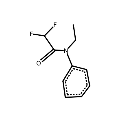 CCN(C(=O)C(F)F)c1ccccc1